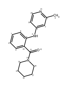 Cc1cc(Nc2ccccc2C(=O)N2CCCCC2)ccn1